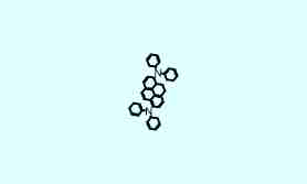 C1=CCCC(N(C2C=CC=CC2)C2C=Cc3ccc4c(N(C5=CCCC=C5)C5C=CC=CC5)ccc5c4c3C2CC5)=C1